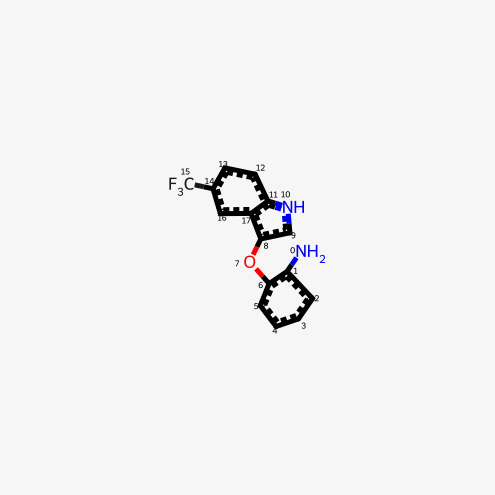 Nc1ccccc1Oc1c[nH]c2ccc(C(F)(F)F)cc12